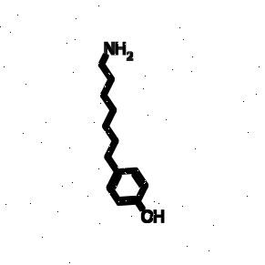 NCCCCCCCc1ccc(O)cc1